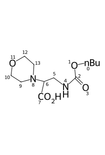 CCCCOC(=O)NCC(C(=O)O)N1CCOCC1